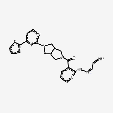 N=C/C=N\Nc1ccccc1C(=O)N1CC2CN(c3nccc(-c4ccco4)n3)CC2C1